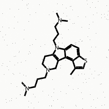 Cc1csc2ccc3c(c4c(n3CCCN(C)C)CCN(CCCN(C)C)C4)c12